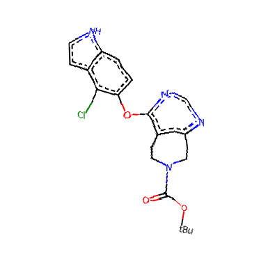 CC(C)(C)OC(=O)N1Cc2ncnc(Oc3ccc4[nH]ccc4c3Cl)c2C1